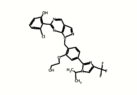 CC(C)n1cc(C(F)(F)F)nc1-c1ccc(Cn2ncc3cnc(-c4c(O)cccc4Cl)nc32)c(OCCO)c1